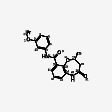 CC(C)Oc1cccc(NC(=O)c2cccc3c2O[C@@H](C)CC(=O)N3)c1